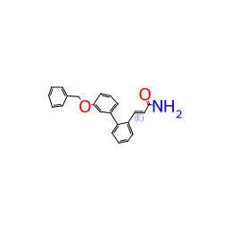 NC(=O)/C=C/c1ccccc1-c1cccc(OCc2ccccc2)c1